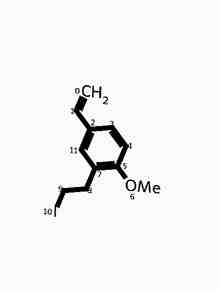 C=Cc1ccc(OC)c(CCI)c1